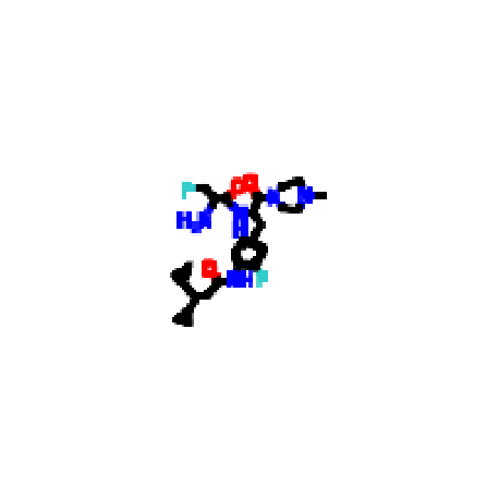 CN1CCN(C(=O)C(Cc2ccc(NC(=O)CC(C3CC3)C3CC3)c(F)c2)NC(=O)C(N)CF)CC1